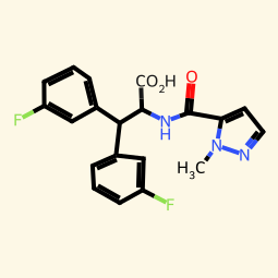 Cn1nccc1C(=O)NC(C(=O)O)C(c1cccc(F)c1)c1cccc(F)c1